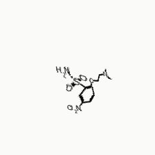 CN(C)CCOc1ccc([N+](=O)[O-])cc1S(N)(=O)=O